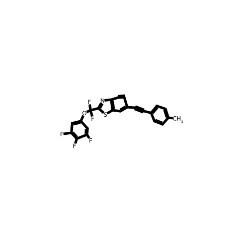 Cc1ccc(C#Cc2ccc3nc(C(F)(F)Oc4cc(F)c(F)c(F)c4)sc3c2)cc1